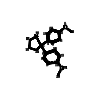 COc1ccc(C2(c3ccc(OC)cc3)CCC[N]2)cc1